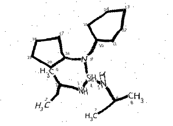 CC(C)N[SiH](NC(C)C)N(C1CCCCC1)C1CCCC1